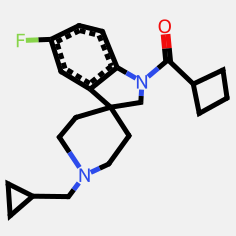 O=C(C1CCC1)N1CC2(CCN(CC3CC3)CC2)c2cc(F)ccc21